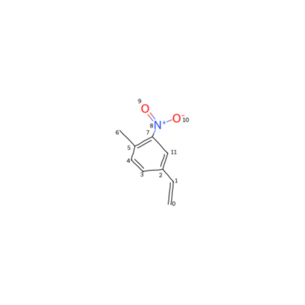 C=Cc1ccc(C)c([N+](=O)[O-])c1